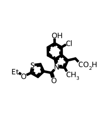 CCOc1cc(C(=O)n2c(C)c(CC(=O)O)c3c(Cl)c(O)ccc32)cs1